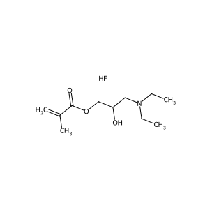 C=C(C)C(=O)OCC(O)CN(CC)CC.F